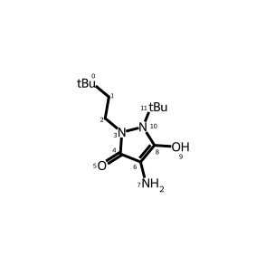 CC(C)(C)CCn1c(=O)c(N)c(O)n1C(C)(C)C